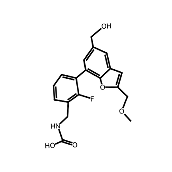 COCc1cc2cc(CO)cc(-c3cccc(CNC(=O)O)c3F)c2o1